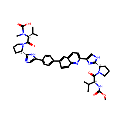 COC(=O)N[C@H](C(=O)N1CCC[C@H]1c1nc(-c2ccc3cc(-c4ccc(-c5cnc([C@@H]6CCCN6C(=O)[C@H](C(C)C)N(C)C(=O)O)[nH]5)cc4)ccc3n2)c[nH]1)C(C)C